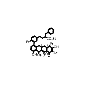 CCOC(=O)C(CCc1ccc(CC)c(-c2ccc(O)c3c2C[C@]2(C)C[C@]4(C)C(C(C)C)C(O)=C(C(C)=O)C(=O)[C@]4(O)C(O)=C2C3=O)c1)Cc1ccccc1